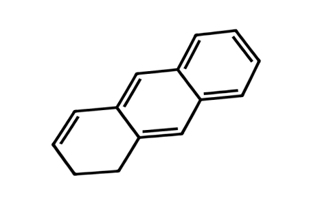 C1=Cc2cc3ccccc3cc2CC1